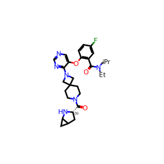 CCN(C(=O)c1cc(F)ccc1Oc1cncnc1N1CC2(CCN(C(=O)[C@@H]3CC4CC4N3)CC2)C1)C(C)C